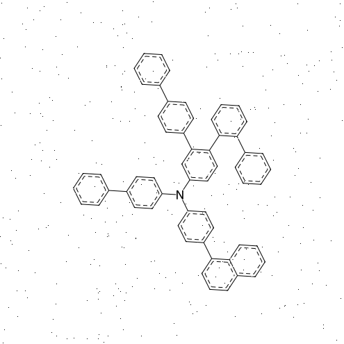 c1ccc(-c2ccc(-c3cc(N(c4ccc(-c5ccccc5)cc4)c4ccc(-c5cccc6ccccc56)cc4)ccc3-c3ccccc3-c3ccccc3)cc2)cc1